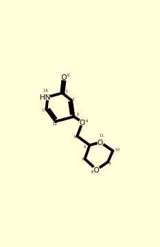 O=c1cc(OCC2COCCO2)cc[nH]1